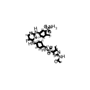 CC(=O)Nc1nc(C)c(S(=O)(=O)NCc2ccc(Nc3nc(Nc4ccc(C)c(S(N)(=O)=O)c4)ncc3F)cc2)s1